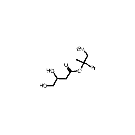 CC(C)C(C)(CC(C)(C)C)OC(=O)CC(O)CO